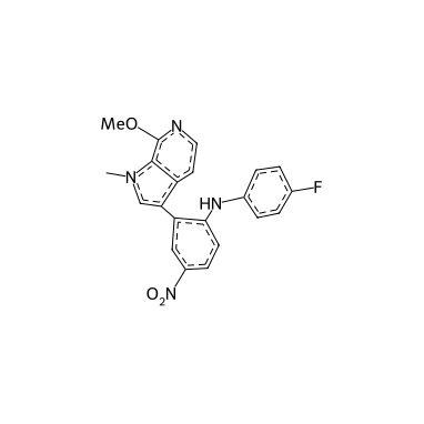 COc1nccc2c(-c3cc([N+](=O)[O-])ccc3Nc3ccc(F)cc3)cn(C)c12